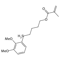 C=C(C)C(=O)OCCCC[SiH2]c1cccc(OC)c1OC